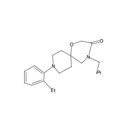 CCc1ccccc1N1CCC2(CC1)CN(CC(C)C)C(=O)CO2